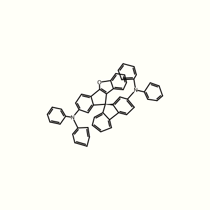 c1ccc(N(c2ccccc2)c2ccc3c(c2)[C@@]2(c4ccccc4-3)c3cc(N(c4ccccc4)c4ccccc4)ccc3-c3oc4ccccc4c32)cc1